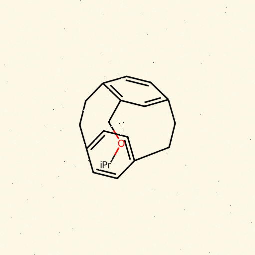 CC(C)OCc1cc2ccc1CCc1ccc(cc1)CC2